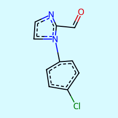 O=Cc1nccn1-c1ccc(Cl)cc1